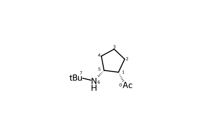 CC(=O)[C@H]1CCC[C@H]1NC(C)(C)C